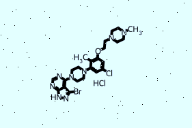 Cc1c(OCCN2CCN(C)CC2)cc(Cl)cc1N1CCN(c2ncnc3[nH]nc(Br)c23)CC1.Cl